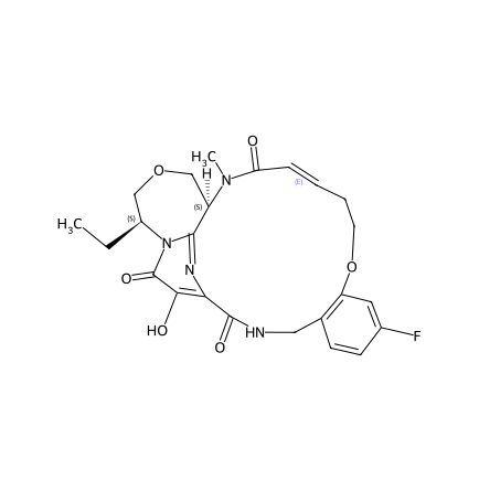 CC[C@H]1COC[C@@H]2c3nc(c(O)c(=O)n31)C(=O)NCc1ccc(F)cc1OCC/C=C/C(=O)N2C